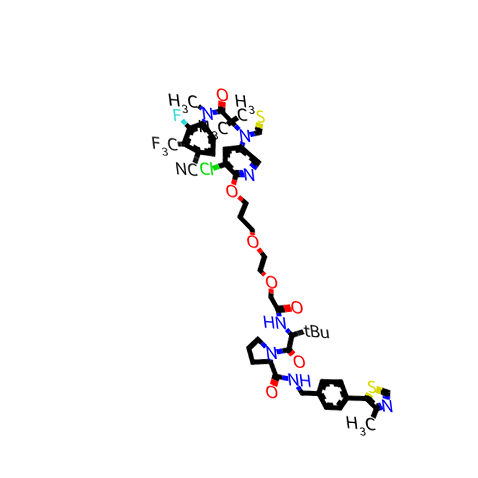 Cc1ncsc1-c1ccc(CNC(=O)C2CCCN2C(=O)C(NC(=O)COCCOCCCOc2ncc(N(C=S)C(C)(C)C(=O)N(C)c3ccc(C#N)c(C(F)(F)F)c3F)cc2Cl)C(C)(C)C)cc1